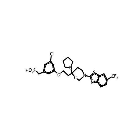 O=C(O)Cc1cc(Cl)cc(OCCC2(N3CCCC3)CCN(c3nc4ccc(C(F)(F)F)cc4s3)CC2)c1